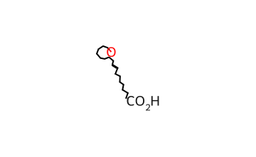 O=C(O)CCCCCCCC=CCC1CCCCCCO1